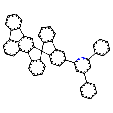 c1ccc(-c2cc(-c3ccccc3)nc(-c3ccc4c(c3)-c3ccccc3C43c4ccccc4-c4c3cc3c5c(cccc45)-c4ccccc4-3)c2)cc1